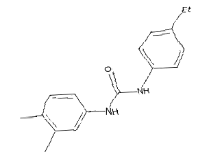 CCc1ccc(NC(=O)Nc2ccc(C)c(C)c2)cc1